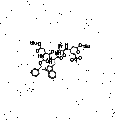 CC(C)[C@H](NC(=O)[C@H](Cc1cn(C)c2ccccc12)NC(=O)[C@H](CC(=O)OC(C)(C)C)NC(=O)OCc1ccccc1)C(=O)N[C@H](/C=C/S(C)(=O)=O)CC(=O)OC(C)(C)C